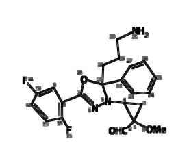 COC1(C=O)CC1N1N=C(c2cc(F)ccc2F)OC1(CCCN)c1ccccc1